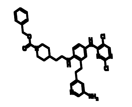 Nc1cncc(CCc2cc(Nc3nc(Cl)ncc3Cl)ccc2NCCC2CCN(C(=O)OCc3ccccc3)CC2)c1